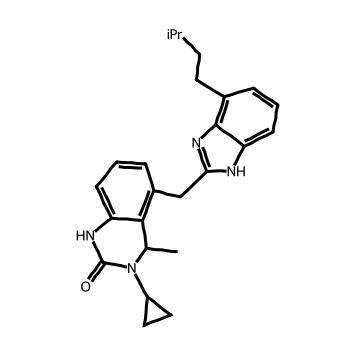 CC(C)CCc1cccc2[nH]c(Cc3cccc4c3C(C)N(C3CC3)C(=O)N4)nc12